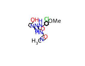 COc1ccc(CNc2nc(N3CCCC3CO)cnc2C(=O)NCC2CN(C)CCO2)cc1Cl